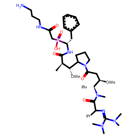 CC[C@H](C)[C@@H]([C@@H](CC(=O)N1CCCC1[C@H](OC)[C@@H](C)C(=O)N[C@@H](Cc1ccccc1)P(=O)(O)CC(=O)NCCCN)OC)N(C)C(=O)C(N=C(N(C)C)N(C)C)C(C)C